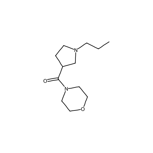 CCCN1CCC(C(=O)N2CCOCC2)C1